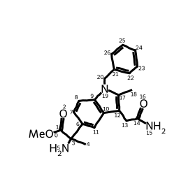 COC(=O)C(C)(N)c1ccc2c(c1)c(CC(N)=O)c(C)n2Cc1ccccc1